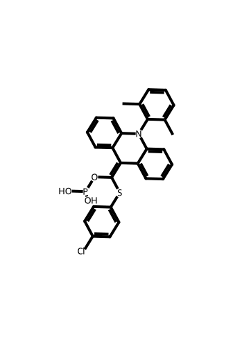 Cc1cccc(C)c1N1c2ccccc2C(=C(OP(O)O)Sc2ccc(Cl)cc2)c2ccccc21